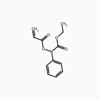 C=CC(=O)ON(C(=O)OCC)c1ccccc1